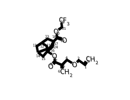 C=CCOCC(=C)C(=O)OC12CC3CC(C1)CC(C(=O)OCC(F)(F)F)(C3)C2